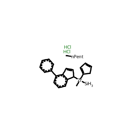 CCCCCC.Cl.Cl.[CH3][Zr]([SiH3])([C]1=CC=CC1)[CH]1C=Cc2c(-c3ccccc3)cccc21